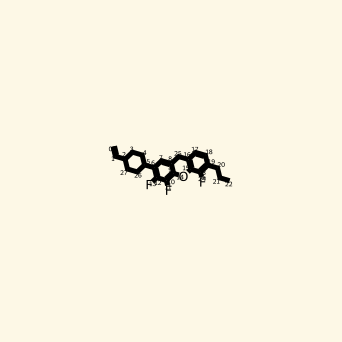 C=CC1CCC(c2cc3c(c(F)c2F)Oc2c(ccc(CCC)c2F)C3)CC1